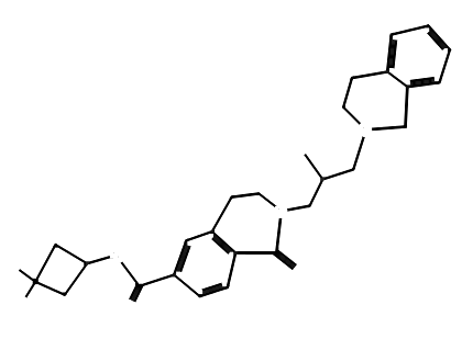 O=C(NC1CC(F)(F)C1)c1ccc2c(c1)CCN(CC(O)CN1CCc3ccccc3C1)C2=O